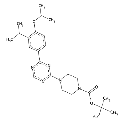 CC(C)Oc1ccc(-c2ncnc(N3CCN(C(=O)OC(C)(C)C)CC3)n2)cc1C(C)C